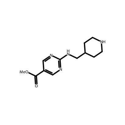 COC(=O)c1cnc(NCC2CCNCC2)nc1